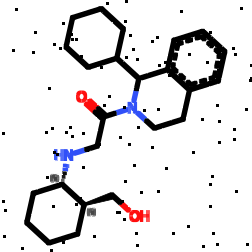 O=C(CN[C@H]1CCCC[C@@H]1CO)N1CCc2ccccc2C1C1CCCCC1